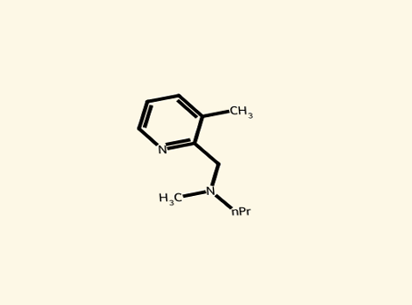 CCCN(C)Cc1ncccc1C